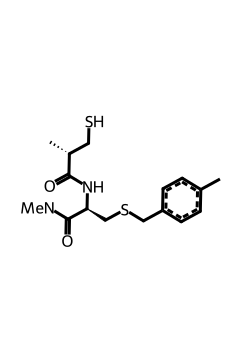 CNC(=O)[C@H](CSCc1ccc(C)cc1)NC(=O)[C@H](C)CS